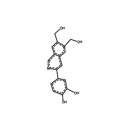 OCc1cc2cnc(-c3ccc(O)c(O)c3)cc2cc1CO